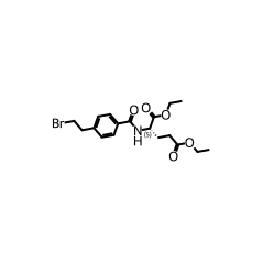 CCOC(=O)CC[C@H](NC(=O)c1ccc(CCBr)cc1)C(=O)OCC